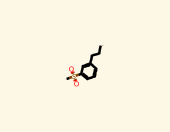 [CH2]CCc1cccc(S(C)(=O)=O)c1